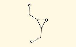 ClCC1OC1CCl